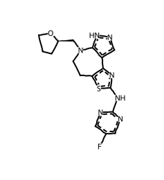 Fc1cnc(Nc2nc3c(s2)CCN(C[C@H]2CCCO2)c2[nH]ncc2-3)nc1